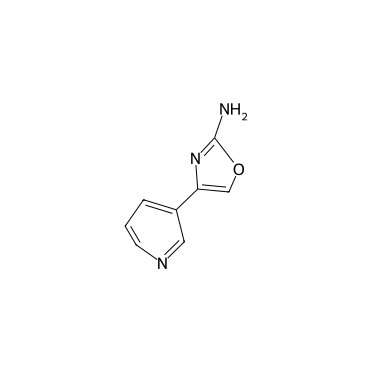 Nc1nc(-c2cccnc2)co1